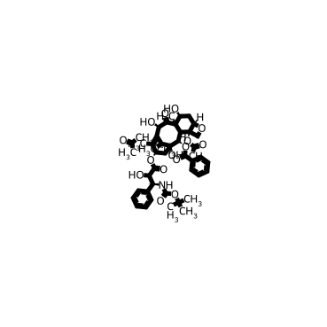 CC(=O)O[C@@]12CO[C@@H]1C[C@H](O)[C@@]1(C)C(=O)[C@H](O)C3=C(C)[C@@H](OC(=O)C(O)[C@@H](NC(=O)OC(C)(C)C)c4ccccc4)C[C@@](O)([C@@H](OC(=O)c4ccccc4)[C@H]21)C3(C)C.CC(C)=O